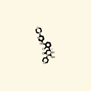 C[C@@]1(c2cccc(Nc3ccc(N4CCOCC4)nc3)c2Cl)CC(=O)N(C2CCOCC2)C(=N)N1